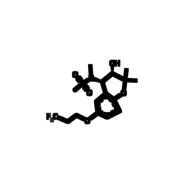 CN([C@@H]1c2cc(OCCC(F)(F)F)ccc2OC(C)(C)[C@H]1O)S(C)(=O)=O